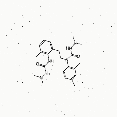 Cc1ccc(N(CCc2cccc(C)c2NC(=O)NN(C)C)C(=O)NN(C)C)c(C)c1